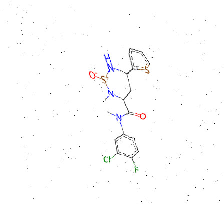 CN(C(=O)C1CC(c2cccs2)N[S+]([O-])N1C)c1ccc(F)c(Cl)c1